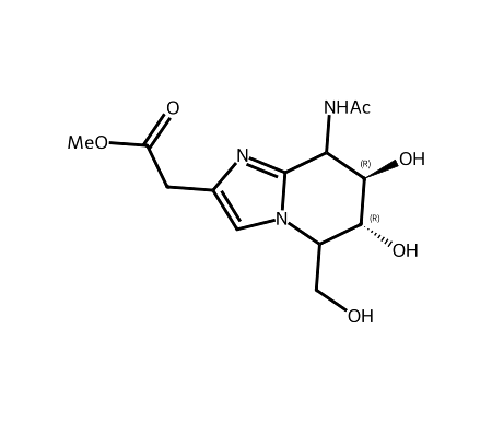 COC(=O)Cc1cn2c(n1)C(NC(C)=O)[C@@H](O)[C@H](O)C2CO